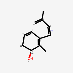 C=C(C)/C=C\C1=C(C)[C@@H](O)CC=C1